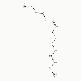 CC[C@@H](C)CCCC/C=C\CCCCCCCO